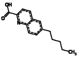 CCCCCc1ccc2nc(C(=O)O)ccc2c1